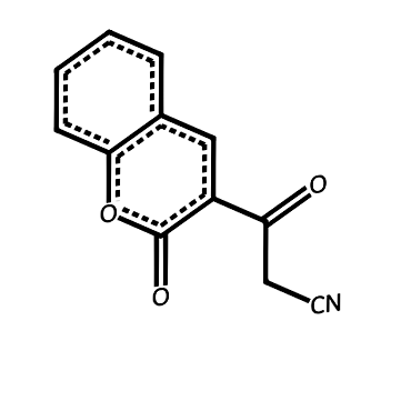 N#CCC(=O)c1cc2ccccc2oc1=O